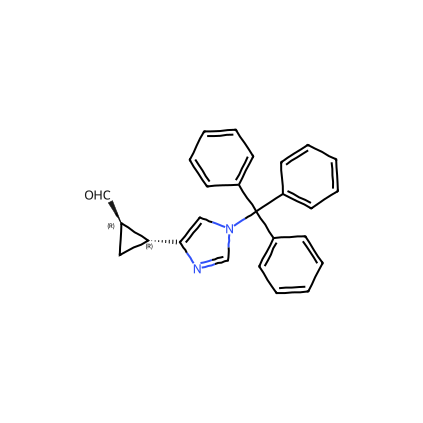 O=C[C@@H]1C[C@H]1c1cn(C(c2ccccc2)(c2ccccc2)c2ccccc2)cn1